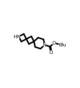 CC(C)(C)OC(=O)N1CCC2(CC1)CC1(CNC1)C2